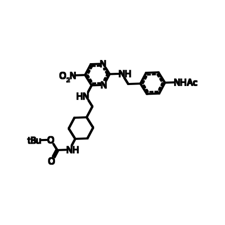 CC(=O)Nc1ccc(CNc2ncc([N+](=O)[O-])c(NCC3CCC(NC(=O)OC(C)(C)C)CC3)n2)cc1